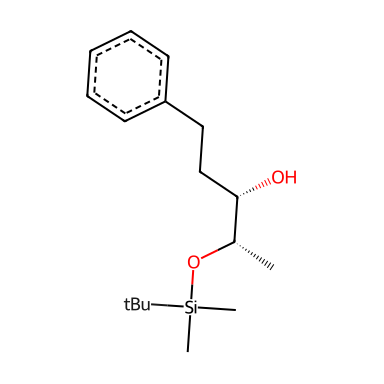 C[C@H](O[Si](C)(C)C(C)(C)C)[C@@H](O)CCc1ccccc1